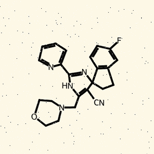 N#CC1=C(CN2CCOCC2)NC(c2ccccn2)=NC12CCc1cc(F)ccc12